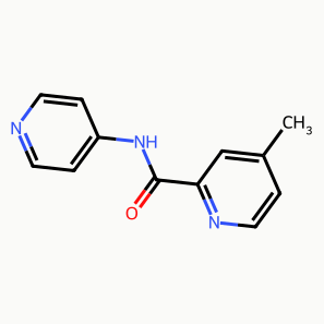 Cc1ccnc(C(=O)Nc2ccncc2)c1